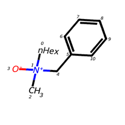 CCCCCC[N+](C)([O-])Cc1ccccc1